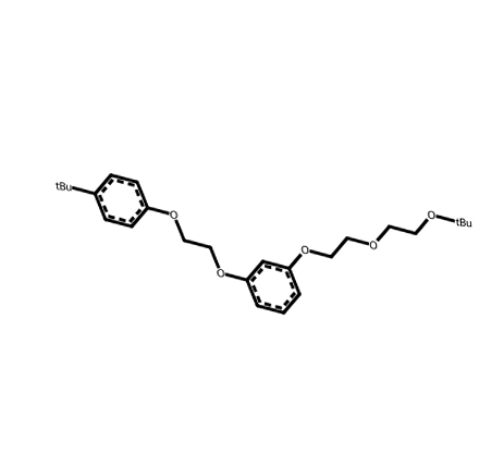 CC(C)(C)OCCOCCOc1cccc(OCCOc2ccc(C(C)(C)C)cc2)c1